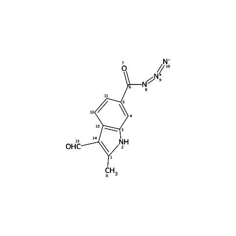 Cc1[nH]c2cc(C(=O)N=[N+]=[N-])ccc2c1C=O